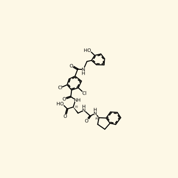 O=C(NC[C@H](NC(=O)c1c(Cl)cc(C(=O)NCc2ccccc2O)cc1Cl)C(=O)O)N[C@@H]1CCc2ccccc21